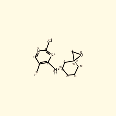 Fc1cnc(Cl)nc1N[C@H]1CCC[C@@]2(CO2)C1